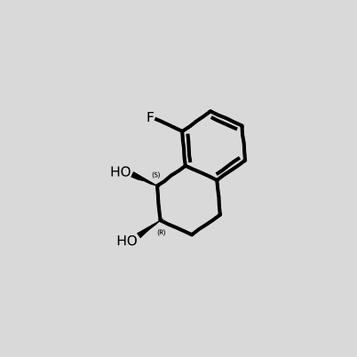 O[C@@H]1CCc2cccc(F)c2[C@@H]1O